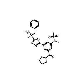 CN(c1cc(C(=O)C2CCCC2)cc(-c2nnc([C@](C)(N)Cc3ccccc3)o2)c1)S(C)(=O)=O